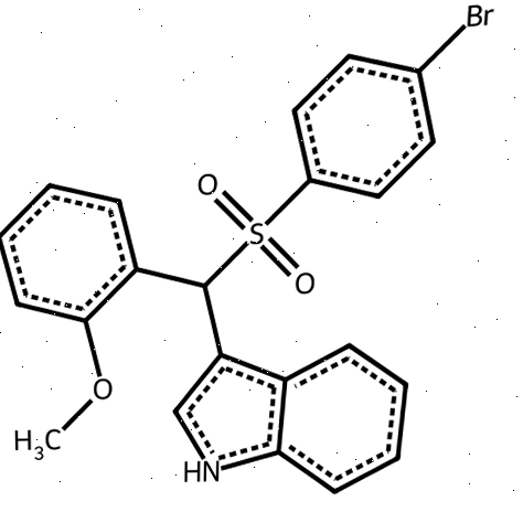 COc1ccccc1C(c1c[nH]c2ccccc12)S(=O)(=O)c1ccc(Br)cc1